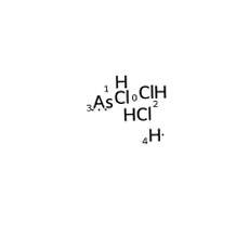 Cl.Cl.Cl.[As].[H]